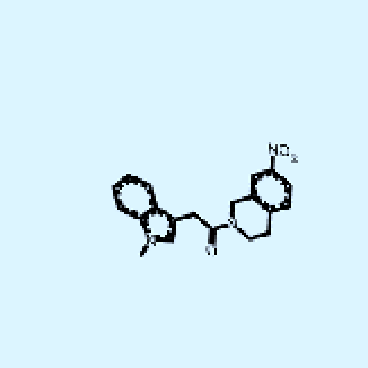 Cn1cc(CC(=O)N2CCc3ccc([N+](=O)[O-])cc3C2)c2ccccc21